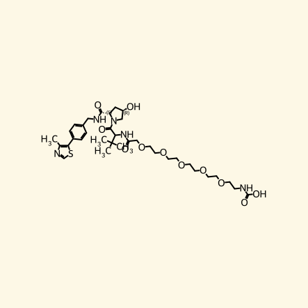 Cc1ncsc1-c1ccc(CNC(=O)[C@@H]2C[C@@H](O)CN2C(=O)C(NC(=O)COCCOCCOCCOCCOCCNC(=O)O)C(C)(C)C)cc1